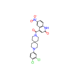 O=C(c1cc(=O)[nH]c2ccc([N+](=O)[O-])cc12)N1CCC2(CC1)CCN(c1ccc(Cl)c(Cl)c1)CC2